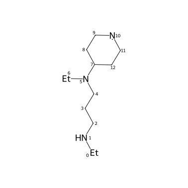 CCNCCCN(CC)C1CC[N]CC1